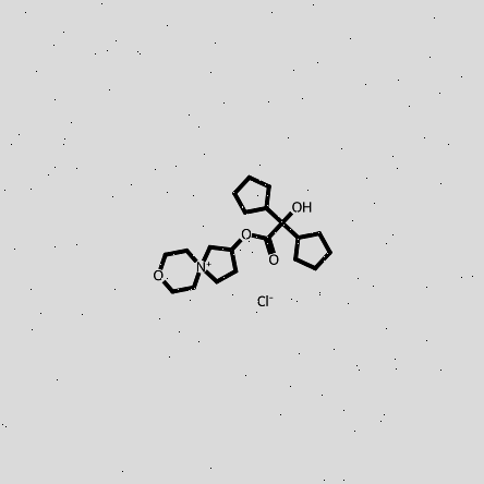 O=C(OC1CC[N+]2(CCOCC2)C1)C(O)(C1CCCC1)C1CCCC1.[Cl-]